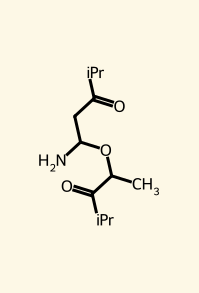 CC(C)C(=O)CC(N)OC(C)C(=O)C(C)C